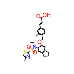 CCN(c1cc2c(cc1OCc1ccc(C=CC(=O)O)cc1C)CCC2)S(=O)(=O)c1nc(C)cs1